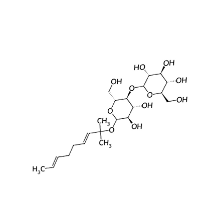 C/C=C/CC/C=C/C(C)(C)OC1O[C@H](CO)[C@@H](OC2O[C@H](CO)[C@@H](O)[C@H](O)[C@H]2O)[C@H](O)[C@H]1O